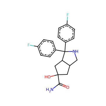 NC(=O)C1(O)CC2CNC(c3ccc(F)cc3)(c3ccc(F)cc3)C2C1